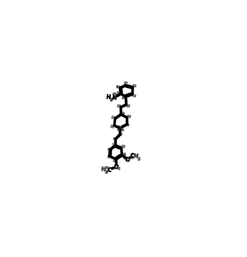 COc1ccc(CCN2CCC(CCc3ccccc3N)CC2)cc1OC